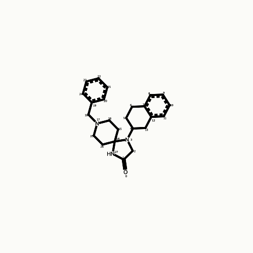 O=C1CN(C2CCc3ccccc3C2)C2(CCN(Cc3ccccc3)CC2)N1